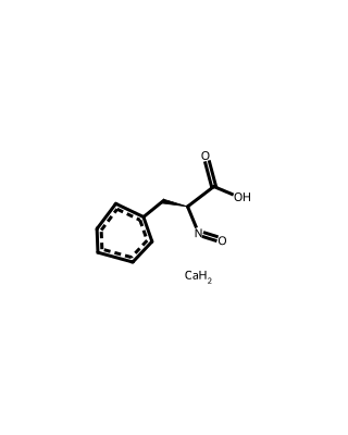 O=N[C@@H](Cc1ccccc1)C(=O)O.[CaH2]